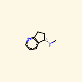 CN[C@H]1CCc2ncccc21